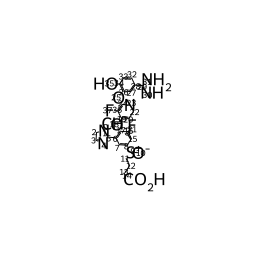 CN1CC=NC1c1cc([S+]([O-])CCCC(=O)O)ccc1Oc1c(F)cnc(Oc2cc(C(=N)N)ccc2O)c1F